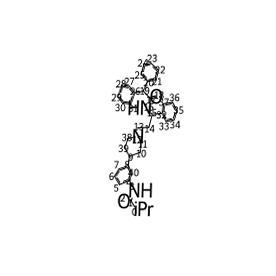 CC(C)C(=O)Nc1cccc(C2CCN(CCC(NC(=O)C(c3ccccc3)c3ccccc3)c3ccccc3)CC2)c1